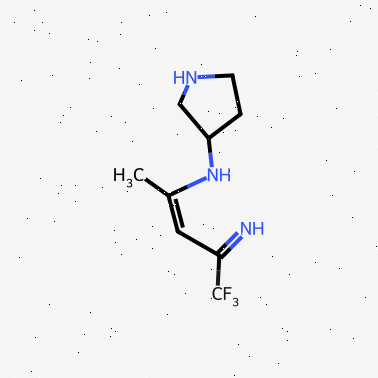 C/C(=C/C(=N)C(F)(F)F)NC1CCNC1